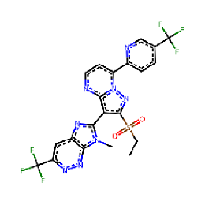 CCS(=O)(=O)c1nn2c(-c3ccc(C(F)(F)F)cn3)ccnc2c1-c1nc2cc(C(F)(F)F)nnc2n1C